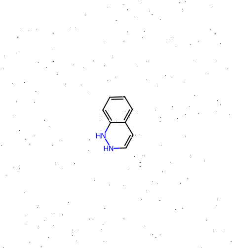 [C]1=CNNc2ccccc21